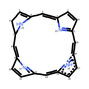 C1=C/C2=C/C3=CCC(/C=C4/C=CC(=N4)/C=c4/cc/c([nH]4)=C/C1=N2)N3